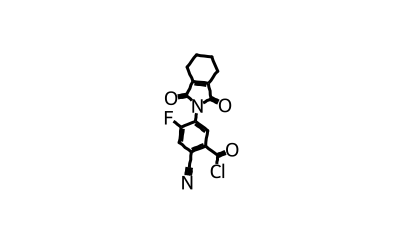 N#Cc1cc(F)c(N2C(=O)C3=C(CCCC3)C2=O)cc1C(=O)Cl